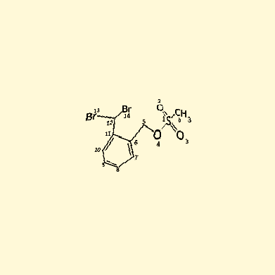 CS(=O)(=O)OCc1ccccc1C(Br)Br